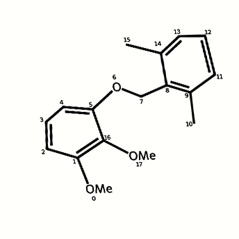 COc1cccc(OCc2c(C)cccc2C)c1OC